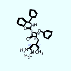 C=N/C(N)=C\C(=C/C)C[C@H]1C(=O)N(C(=O)NC(c2ccccc2)c2ccccc2)[C@@H]1Oc1ccccc1